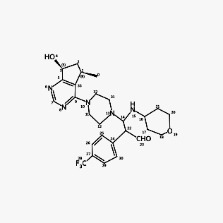 C[C@@H]1C[C@H](O)c2ncnc(N3CCN(C(NC4CCOCC4)C(C=O)c4ccc(C(F)(F)F)cc4)CC3)c21